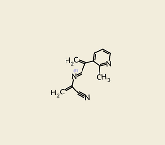 C=C(C#N)/N=C/C(=C)c1cccnc1C